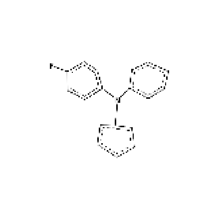 Fc1ccc(N(c2ccccc2)c2ccccc2)cc1